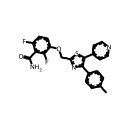 Cc1ccc(-c2nc(COc3ccc(F)c(C(N)=O)c3F)sc2-c2ccncc2)cc1